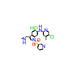 CNCc1cn(S(=O)(=O)c2cccnc2)c2cc(Nc3cc(C)c(Cl)cn3)ccc12.Cl